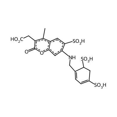 Cc1c(CC(=O)O)c(=O)oc2cc(NCC3=CC=C(S(=O)(=O)O)CC3S(=O)(=O)O)c(S(=O)(=O)O)cc12